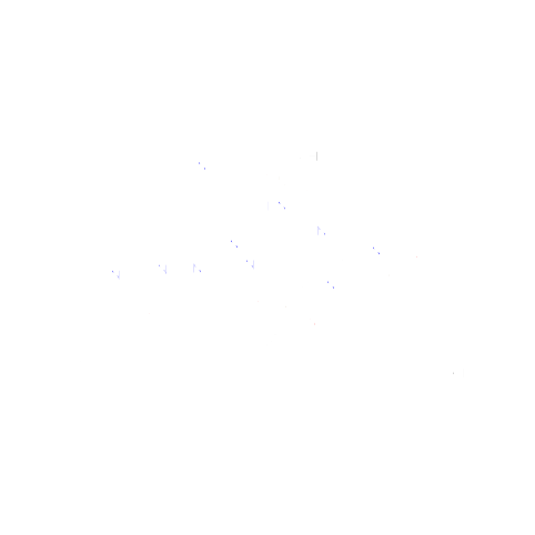 Cc1ccc(S(=O)(=O)Nc2nc(NS(C)(=O)=O)c(N=Nc3nn(-c4nc5ccccc5o4)cc3C#N)c(S(C)(=O)=O)n2)cc1